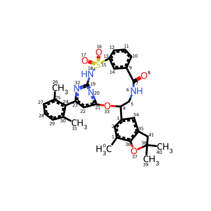 Cc1cc(C2CNC(=O)c3cccc(c3)S(=O)(=O)Nc3nc(cc(-c4c(C)cccc4C)n3)O2)cc2c1OC(C)(C)C2